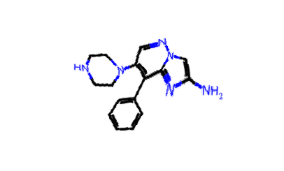 Nc1cn2ncc(N3CCNCC3)c(-c3ccccc3)c2n1